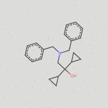 OC(CN(Cc1ccccc1)Cc1ccccc1)(C1CC1)C1CC1